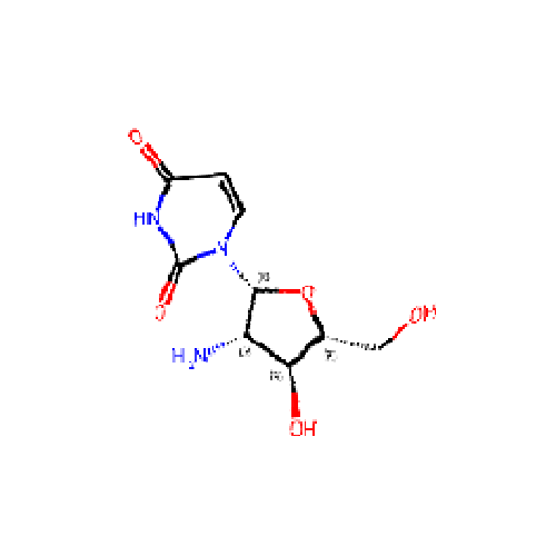 N[C@H]1[C@H](O)[C@@H](CO)O[C@H]1n1ccc(=O)[nH]c1=O